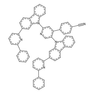 N#Cc1ccc(-c2cc(-n3c4ccccc4c4ccc(-c5cccc(-c6ccccc6)n5)cc43)ncc2-n2c3ccccc3c3ccc(-c4cccc(-c5ccccc5)n4)cc32)cc1